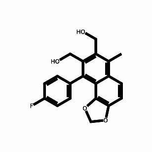 Cc1c(CO)c(CO)c(-c2ccc(F)cc2)c2c3c(ccc12)OCO3